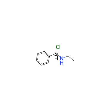 CCN[SiH](Cl)c1ccccc1